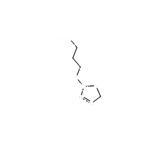 CCCCCCCCSN1N=NCN1